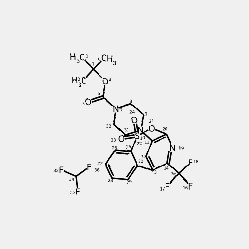 CC(C)(C)OC(=O)N1CCN(c2cc3c(C(F)(F)F)nc2OS(=O)(=O)c2ccccc2-3)CC1.FC(F)F